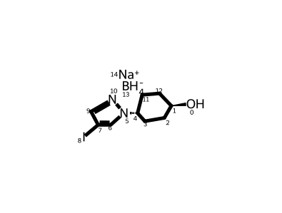 O[C@H]1CC[C@H](n2cc(I)cn2)CC1.[BH4-].[Na+]